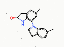 Cc1cc2c(c(-n3ccc4ccc(C)cc43)c1)NC(=O)C2